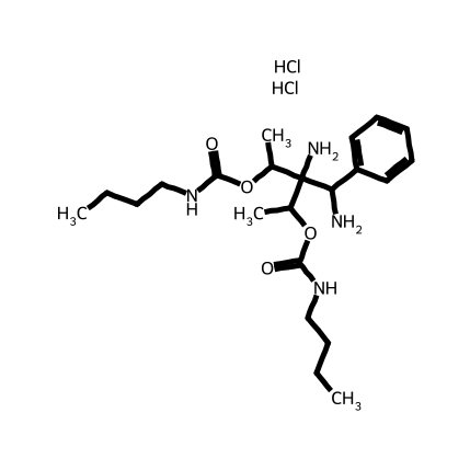 CCCCNC(=O)OC(C)C(N)(C(C)OC(=O)NCCCC)C(N)c1ccccc1.Cl.Cl